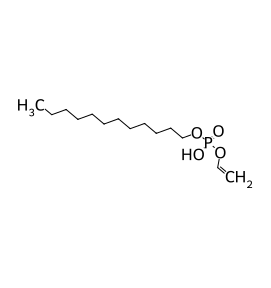 C=COP(=O)(O)OCCCCCCCCCCCC